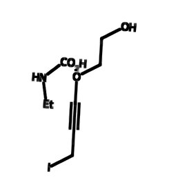 CCNC(=O)O.OCCOC#CCI